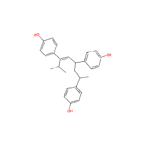 CC(C)C(=CC(CC(C)c1ccc(O)cc1)c1ccc(O)cc1)c1ccc(O)cc1